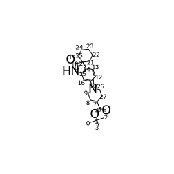 CC(C)(C)OC(=O)C1CCN(c2ccc3c(c2)NC(=O)C32CCCCC2)CC1